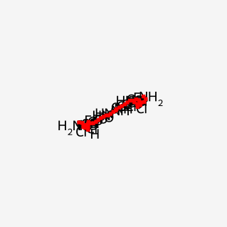 N[C@@H]1CCCN([C@H]2Cc3c(Cl)cc(Cl)c4c3[C@@H]2Oc2c(F)cc(S(=O)(=O)NCCOCCOCCNC(=O)NCCCCNC(=O)NCCOCCOCCNS(=O)(=O)c3cc(F)c5c(c3)-c3c(Cl)cc(Cl)c6c3[C@H](O5)[C@@H](N3CCC[C@@H](N)C3)C6)cc2-4)C1